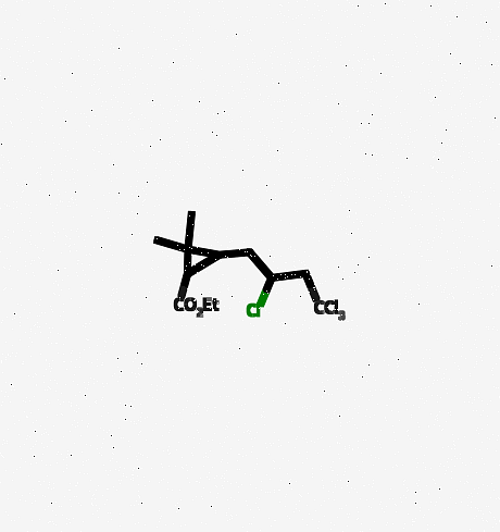 CCOC(=O)C1C(CC(Cl)CC(Cl)(Cl)Cl)C1(C)C